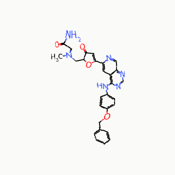 CN(CC(N)=O)CC1OC(c2cc3c(Nc4ccc(OCc5ccccc5)cc4)ncnc3cn2)=CC1=O